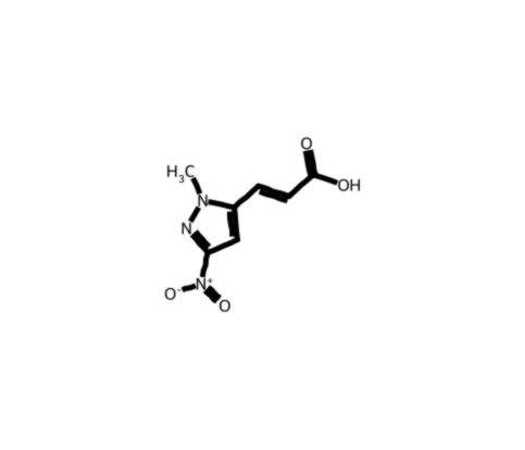 Cn1nc([N+](=O)[O-])cc1/C=C/C(=O)O